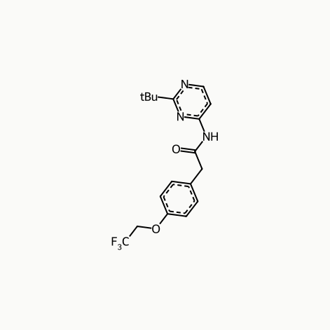 CC(C)(C)c1nccc(NC(=O)Cc2ccc(OCC(F)(F)F)cc2)n1